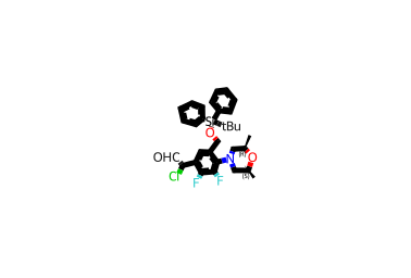 C[C@@H]1CN(c2c(CO[Si](c3ccccc3)(c3ccccc3)C(C)(C)C)cc(C(Cl)C=O)c(F)c2F)C[C@H](C)O1